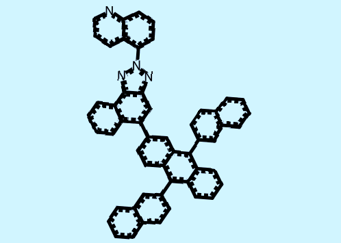 c1ccc2cc(-c3c4ccccc4c(-c4ccc5ccccc5c4)c4cc(-c5cc6nn(-c7cccc8ncccc78)nc6c6ccccc56)ccc34)ccc2c1